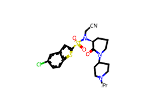 CC(C)N1CCC(N2CCC[C@H](N(CC#N)S(=O)(=O)c3cc4cc(Cl)ccc4s3)C2=O)CC1